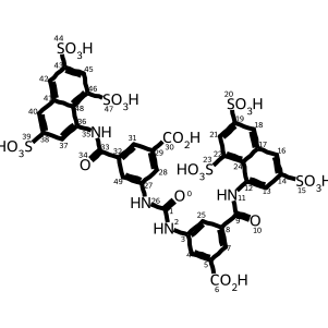 O=C(Nc1cc(C(=O)O)cc(C(=O)Nc2cc(S(=O)(=O)O)cc3cc(S(=O)(=O)O)cc(S(=O)(=O)O)c23)c1)Nc1cc(C(=O)O)cc(C(=O)Nc2cc(S(=O)(=O)O)cc3cc(S(=O)(=O)O)cc(S(=O)(=O)O)c23)c1